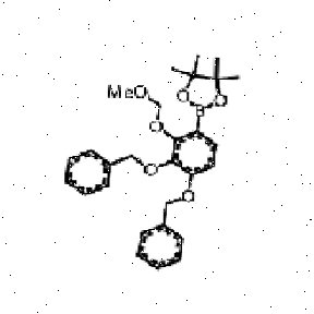 COCOc1c(B2OC(C)(C)C(C)(C)O2)ccc(OCc2ccccc2)c1OCc1ccccc1